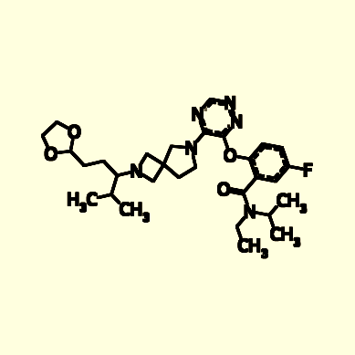 CCN(C(=O)c1cc(F)ccc1Oc1nncnc1N1CCC2(C1)CN(C(CCC1OCCO1)C(C)C)C2)C(C)C